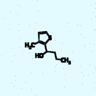 CCCC(O)c1sccc1C